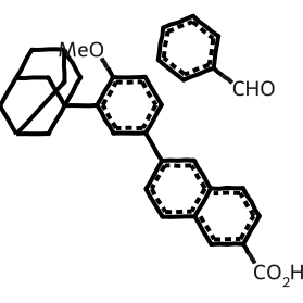 COc1ccc(-c2ccc3cc(C(=O)O)ccc3c2)cc1C12CC3CC(CC(C3)C1)C2.O=Cc1ccccc1